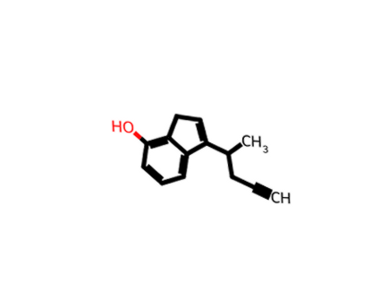 C#CCC(C)C1=CCc2c(O)cccc21